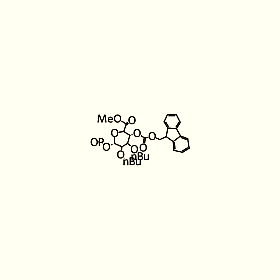 CCCCOC1C(OCCCC)[C@@H](OC(=O)OCC2c3ccccc3-c3ccccc32)C(C(=O)OC)O[C@H]1OP=O